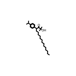 CCCCCCCCCCCCCCC(C(=O)C(C)(C)O)c1ccc(C(C)C)cc1